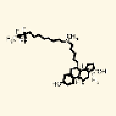 CN(CCCCCCCCC(F)(F)C(F)(F)C(F)(F)F)CCCCC[C@@H]1Cc2cc(O)ccc2[C@@H]2[C@@H]1[C@@H]1CC[C@H](O)[C@@]1(C)C[C@@H]2F